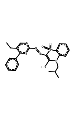 CCc1cnc(N=NC2=C(O)N(CC(C)C)c3ccccc3S2(=O)=O)nc1-c1ccccc1